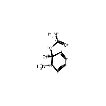 CCC1(OC(N)=O)C=CC=CC1N